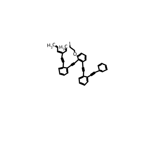 C=C/C=C(/C#Cc1ccccc1C#Cc1c(C#Cc2ccccc2C#Cc2ccccc2)cccc1OCCI)C=C